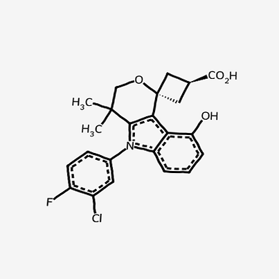 CC1(C)CO[C@]2(C[C@H](C(=O)O)C2)c2c1n(-c1ccc(F)c(Cl)c1)c1cccc(O)c12